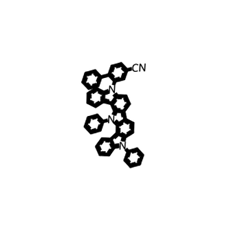 N#Cc1ccc(-c2ccccc2)c(-n2c3ccccc3c3c2ccc2c4ccc5c(c6ccccc6n5-c5ccccc5)c4n(-c4ccccc4)c23)c1